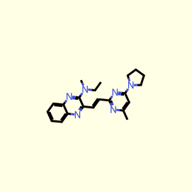 CCN(C)c1nc2ccccc2nc1/C=C/c1nc(C)cc(N2CCCC2)n1